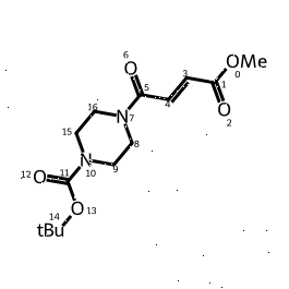 COC(=O)C=CC(=O)N1CCN(C(=O)OC(C)(C)C)CC1